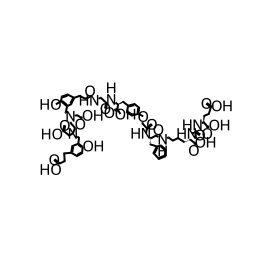 O=C(O)CCc1ccc(O)c(CN(CCN(CC(=O)O)Cc2cc(CCC(=O)NCC(=O)N[C@@H](Cc3ccc(OCC(=O)N[C@@H](Cc4ccccc4)C(=O)NCCCC[C@H](NC(=O)N[C@@H](CCC(=O)O)C(=O)O)C(=O)O)cc3)C(=O)O)ccc2O)CC(=O)O)c1